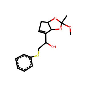 COC1(C)OC2CC=C(C(O)CSc3ccccc3)C2O1